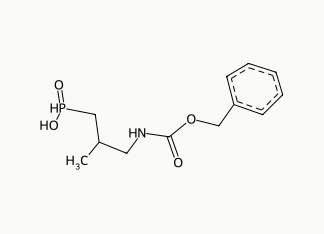 CC(CNC(=O)OCc1ccccc1)C[PH](=O)O